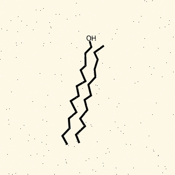 CCCCCCCCCCCCC.CCCCCCCCCCCCCO